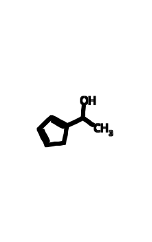 CC(O)C1=CC=CC1